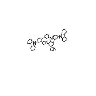 N#Cc1ccc2c(c1)c1cc(-n3c4ccccc4c4ccccc43)ccc1n2-c1cccc(-c2ccc(-n3c4ccccc4c4ccccc43)cc2C#N)c1